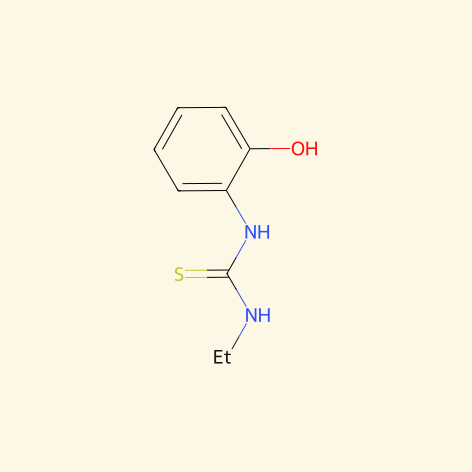 CCNC(=S)Nc1ccccc1O